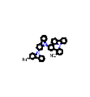 N#Cc1ccc2c(c1)c1ccccc1n2-c1ccc2c3ccccc3n(-c3ccc(-c4c(C#N)cccc4-n4c5ccccc5c5ccccc54)cc3)c2c1